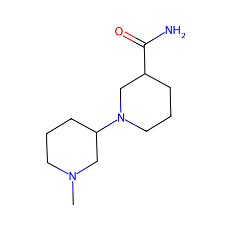 CN1CCCC(N2CCCC(C(N)=O)C2)C1